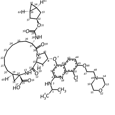 CC(C)Nc1cc(O[C@@H]2C[C@H]3C(=O)N[C@]4(C(=O)O)C[C@H]4CCCCCCC[C@H](NC(=O)O[C@@H]4C[C@@H]5C[C@@H]5C4)C(=O)N3C2)c2ccc(OCCN3CCOCC3)c(Cl)c2n1